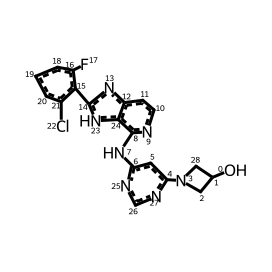 OC1CN(c2cc(Nc3nccc4nc(-c5c(F)cccc5Cl)[nH]c34)ncn2)C1